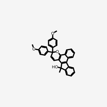 COc1ccc(C2(c3ccc(OC)cc3)C=Cc3c4c(c5ccccc5c3O2)-c2ccccc2C4(C)O)cc1